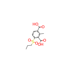 CCCS(=O)(=O)c1ccc(C(=O)O)c(C)c1C(=O)O